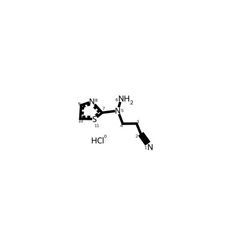 Cl.N#CCCN(N)c1nccs1